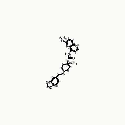 COc1ccc2nccc(NC(=O)OC3(C)CCN(CCc4ccc5c(c4)OCO5)CC3)c2n1